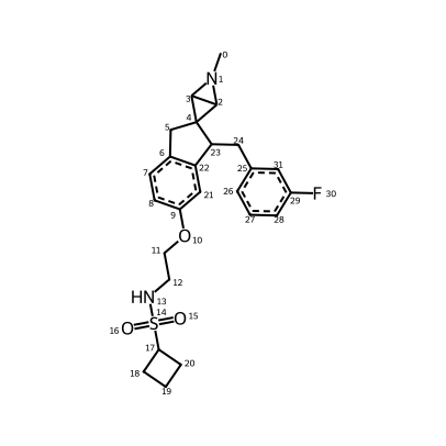 CN1C2C1C21Cc2ccc(OCCNS(=O)(=O)C3CCC3)cc2C1Cc1cccc(F)c1